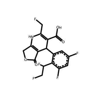 O=C(O)C1=C(CF)NC2=C(C(=O)OC2)C1c1cc(F)cc(F)c1C(F)CF